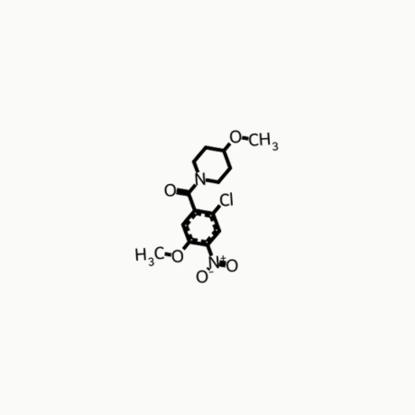 COc1cc(C(=O)N2CCC(OC)CC2)c(Cl)cc1[N+](=O)[O-]